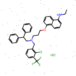 CCNc1cccc2c(OCCCN(Cc3cccc(C(F)(F)F)c3Cl)CC(c3ccccc3)c3ccccc3)cccc12.Cl